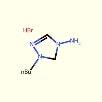 Br.CCCCN1CN(N)C=N1